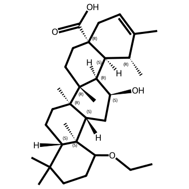 CCOC1CCC(C)(C)[C@@H]2CC[C@]3(C)[C@H](C[C@H](O)[C@@H]4[C@@H]5[C@@H](C)C(C)=CC[C@]5(C(=O)O)CC[C@]43C)[C@@]12C